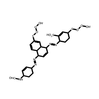 O=CNC1C=CC(N=NC2C=CC(N=NC3CCC(SOOO)C=C3S(=O)(=O)O)C3C=C(SOOO)C=CC23)CC1